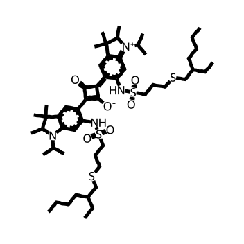 CCCCC(CC)CSCCCS(=O)(=O)Nc1cc2c(cc1C1=C([O-])/C(=c3/cc4c(cc3NS(=O)(=O)CCCSCC(CC)CCCC)=[N+](C(C)C)C(C)C4(C)C)C1=O)C(C)(C)C(C)N2C(C)C